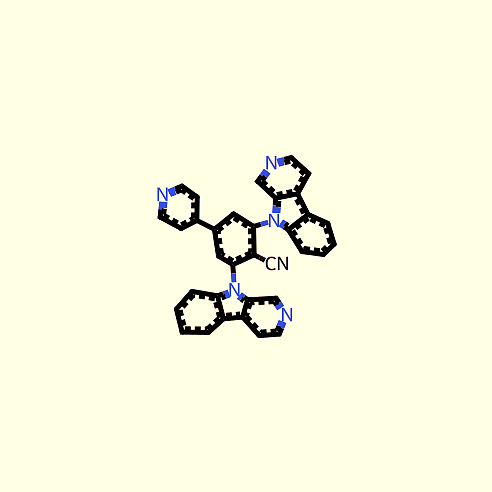 N#Cc1c(-n2c3ccccc3c3ccncc32)cc(-c2ccncc2)cc1-n1c2ccccc2c2ccncc21